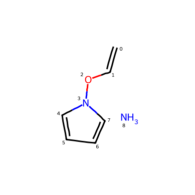 C=COn1cccc1.N